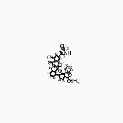 CN/C=C(\C=N)c1cc(Cl)c(C(=O)N2Cc3cccc(-c4ccc(C(=O)OC)c(N5CCOCC5)c4)c3C(=O)N2)c(Cl)c1